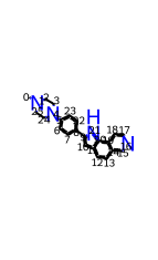 CN1CCN(c2ccc(-c3cc4ccc5cnccc5c4[nH]3)cc2)CC1